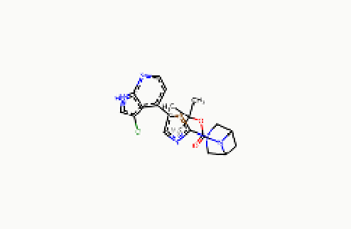 CC(C)(C)OC(=O)N1C2CC1CN(c1ncc(-c3ccnc4[nH]cc(Cl)c34)s1)C2